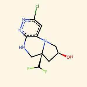 O[C@@H]1CN2c3cc(Cl)nnc3NC[C@@]2(C(F)F)C1